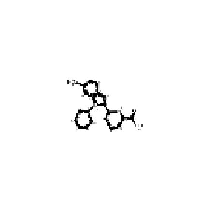 Cc1ccc2nc(-c3cccc(C(=O)O)n3)n(-c3ccccc3)c2c1